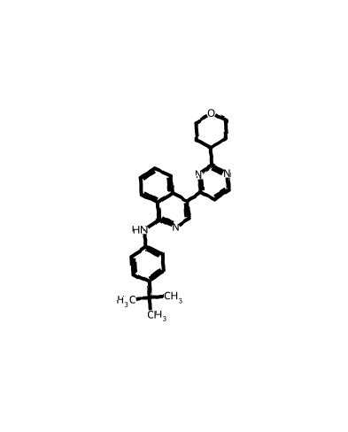 CC(C)(C)c1ccc(Nc2ncc(-c3ccnc(C4CCOCC4)n3)c3ccccc23)cc1